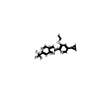 CCSc1cc(C2CC2)cnc1-n1cc2cnc(C(F)(F)F)cc2n1